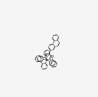 c1ccc(-c2cc(-c3ccc4c(ccc5ccccc54)c3)nc(-c3ccccc3-c3ccccc3C3(c4ccccc4)c4ccccc4Oc4ccccc43)n2)cc1